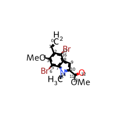 C=Cc1c(OC)c(Br)c2c(cc(C(=O)OC)n2C)c1Br